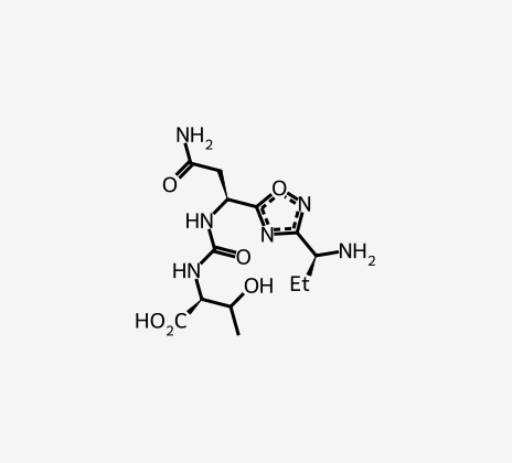 CC[C@H](N)c1noc([C@H](CC(N)=O)NC(=O)N[C@H](C(=O)O)C(C)O)n1